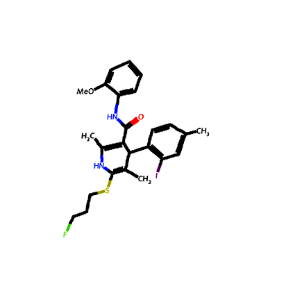 COc1ccccc1NC(=O)C1=C(C)NC(SCCCF)=C(C)C1c1ccc(C)cc1I